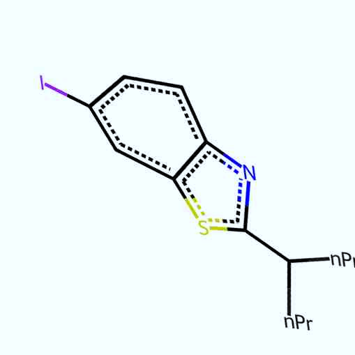 CCCC(CCC)c1nc2ccc(I)cc2s1